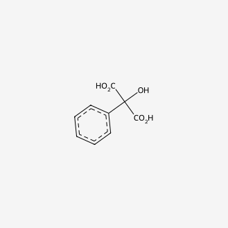 O=C(O)C(O)(C(=O)O)c1ccccc1